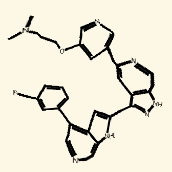 CN(C)CCOc1cncc(-c2cc3c(-c4cc5c(-c6cccc(F)c6)cncc5[nH]4)n[nH]c3cn2)c1